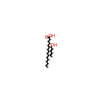 CC=CC=CCO.CCCCCCCCCCCCCCCC(=O)O